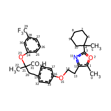 Cc1oc(C2(C)CCCCC2)nc1CCOc1ccc(CC(C)(Oc2cccc(C(F)(F)F)c2)C(=O)O)cc1